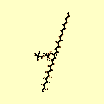 CCCCCCCCCCCCCCC(CCCCCCCCCCCC)CC(=O)OCC(C)(C)C